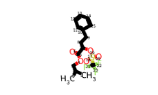 CC(C)COC(=O)C(CCc1ccccc1)OS(=O)(=O)C(F)(F)F